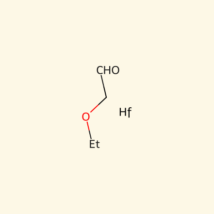 CCOCC=O.[Hf]